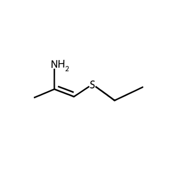 CCSC=C(C)N